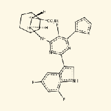 CCOC(=O)[C@H]1C2CCC(CC2)[C@@H]1Nc1nc(-c2c[nH]c3c(F)cc(F)cc23)nc(-c2cccs2)c1F